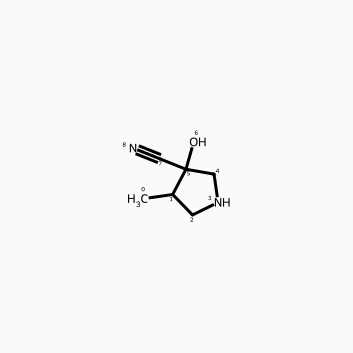 CC1CNCC1(O)C#N